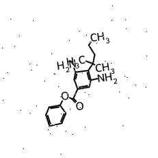 CCCC(C)(C)c1c(N)cc(C(=O)Oc2ccccc2)cc1N